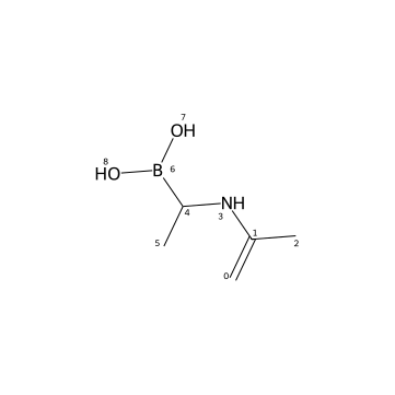 C=C(C)NC(C)B(O)O